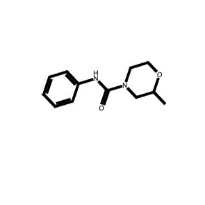 CC1CN(C(=O)Nc2cc[c]cc2)CCO1